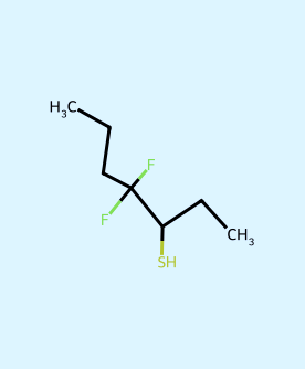 CCCC(F)(F)C(S)CC